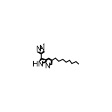 CCCCCCCCc1cnc2[nH]cc(-c3cnn(C)c3)c2c1